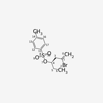 C=C(Br)C[C@@H](CC)OS(=O)(=O)c1ccc(C)cc1